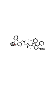 CCC1=Cc2c(ccc(C(C)(C)C)c2-c2ccccc2-c2ccccc2)C1C[SiH2]CC1C(CC)=Cc2c1ccc(C(C)(C)C)c2-c1ccccc1-c1ccccc1